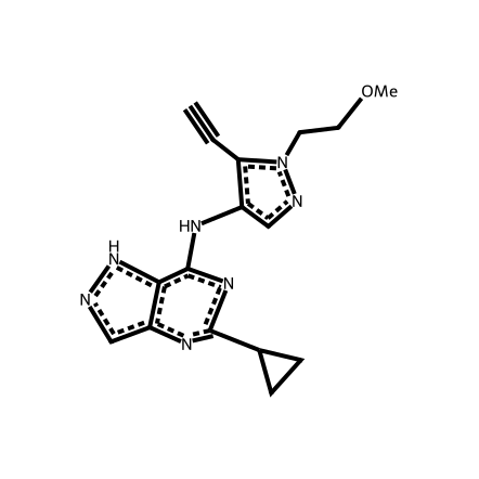 C#Cc1c(Nc2nc(C3CC3)nc3cn[nH]c23)cnn1CCOC